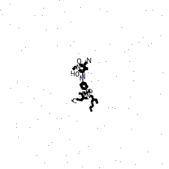 CCCCC(CC)CN(CC(CC)CCCC)S(=O)(=O)c1ccc(/N=N/c2c(C)c(C#N)c(=O)n(CC)c2O)cc1